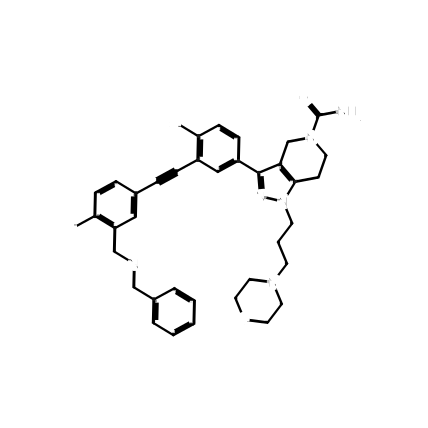 NC(=O)N1CCc2c(c(-c3ccc(Cl)c(C#Cc4ccc(Cl)c(CNCc5ccccc5)c4)c3)nn2CCCN2CCSCC2)C1